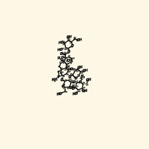 C=C1C[C@@]23CC[C@H]4[C@@](C)(CCC[C@@]4(C)C(=O)O[C@@H]4O[C@H](CO)[C@H](O)[C@H](O)[C@H]4O)[C@@H]2CC[C@]1(O[C@@H]1O[C@H](CO)[C@@H](O)[C@H](O[C@@H]2O[C@H](CO)[C@@H](O)[C@H](O)[C@H]2O)[C@H]1O[C@@H]1O[C@@H](C)[C@H](O)[C@@H](O)[C@H]1O)C3